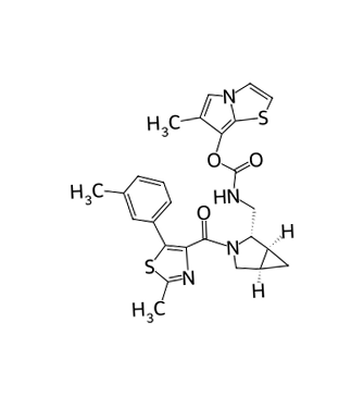 Cc1cccc(-c2sc(C)nc2C(=O)N2C[C@@H]3C[C@@H]3[C@H]2CNC(=O)Oc2c(C)cn3ccsc23)c1